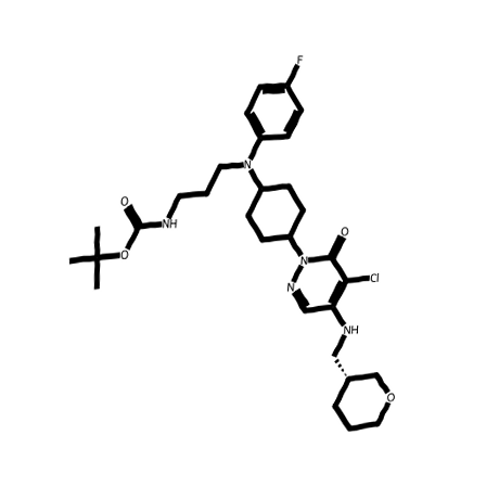 CC(C)(C)OC(=O)NCCCN(c1ccc(F)cc1)C1CCC(n2ncc(NC[C@H]3CCCOC3)c(Cl)c2=O)CC1